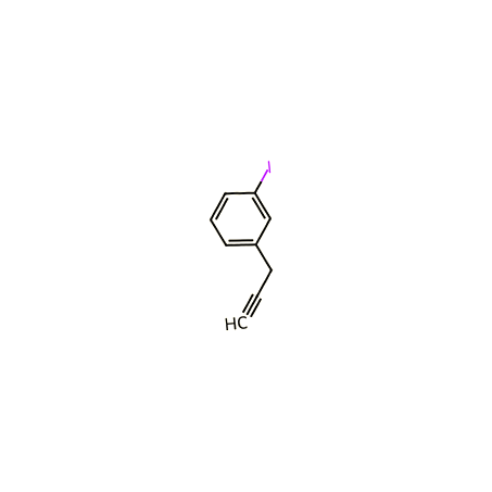 C#CCc1cccc(I)c1